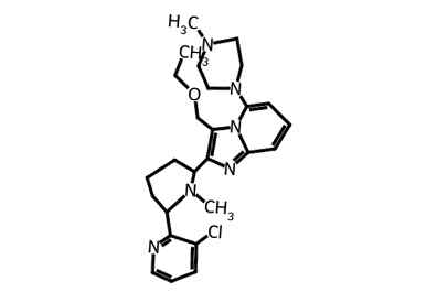 CCOCc1c(C2CCCC(c3ncccc3Cl)N2C)nc2cccc(N3CCN(C)CC3)n12